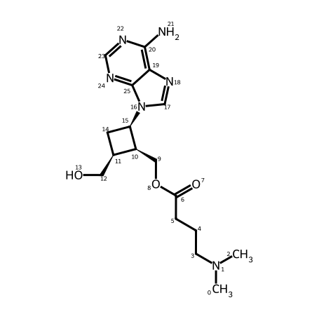 CN(C)CCCC(=O)OC[C@H]1[C@@H](CO)C[C@H]1n1cnc2c(N)ncnc21